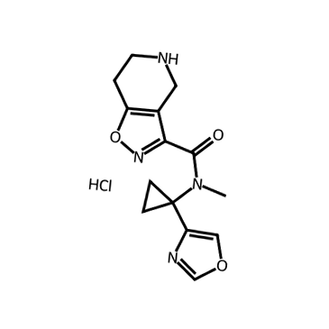 CN(C(=O)c1noc2c1CNCC2)C1(c2cocn2)CC1.Cl